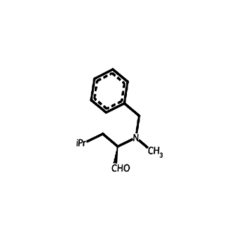 CC(C)C[C@H](C=O)N(C)Cc1ccccc1